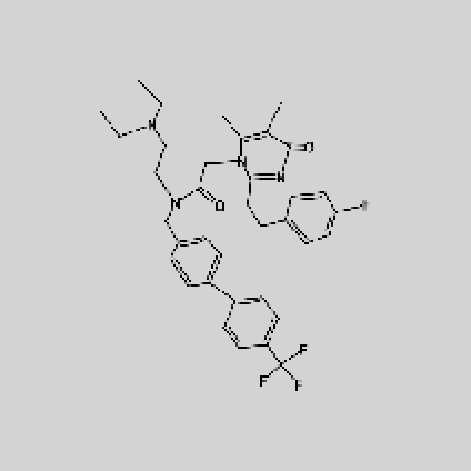 CCN(CC)CCN(Cc1ccc(-c2ccc(C(F)(F)F)cc2)cc1)C(=O)Cn1c(CCc2ccc(F)cc2)nc(=O)c(C)c1C